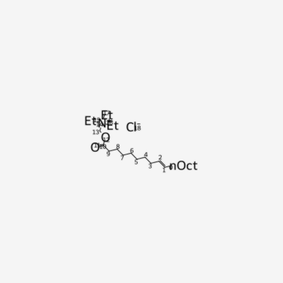 CCCCCCCCC=CCCCCCCCC(=O)OC[N+](CC)(CC)CC.[Cl-]